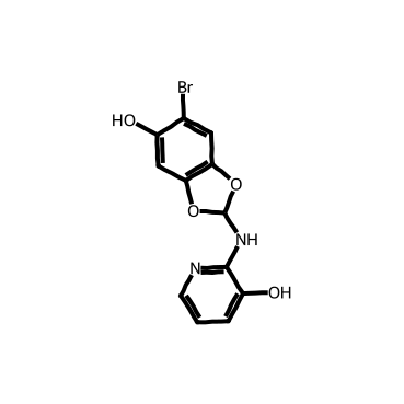 Oc1cc2c(cc1Br)OC(Nc1ncccc1O)O2